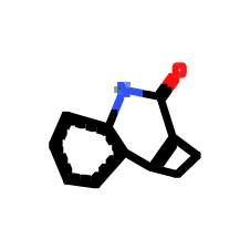 O=C1[N]c2ccccc2C2=C1CC2